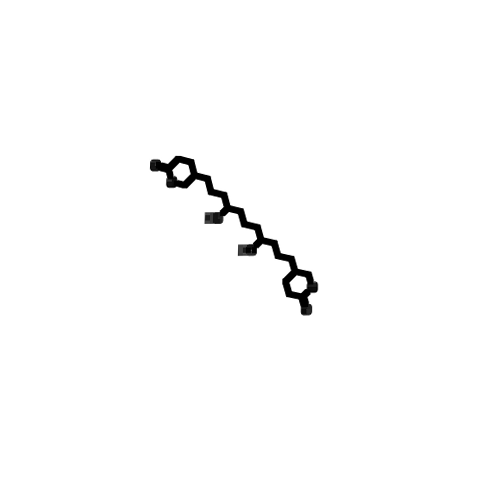 O=C1CCC(CCCC(O)CCCC(O)CCCC2CCC(=O)OC2)CO1